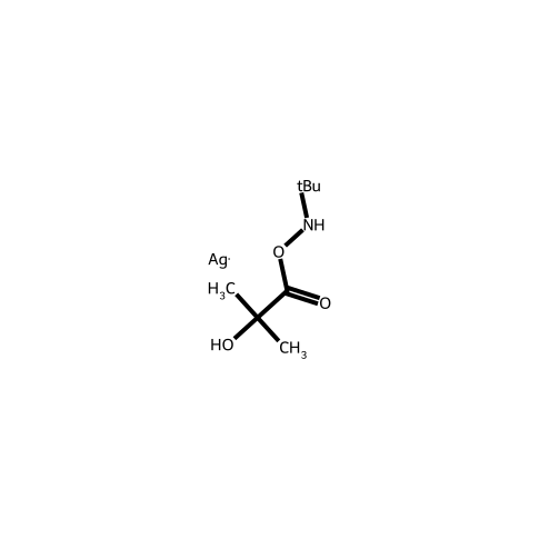 CC(C)(C)NOC(=O)C(C)(C)O.[Ag]